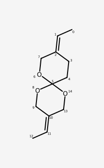 CC=C1CCC2(OC1)OCC(=CC)CO2